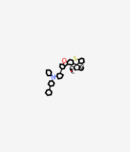 c1ccc(-c2ccc(N(c3ccccc3)c3cccc(-c4ccc5oc6cc7c(cc6c5c4)C4(c5ccccc5S7)c5ccccc5-c5ccccc54)c3)cc2)cc1